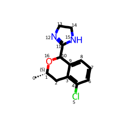 C[C@H]1Cc2c(Cl)cccc2C(C2=NCCN2)O1